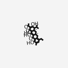 CCc1cc(C)c(O)c2c1C[C@]1(C)C[C@]3(C)C(C(C)C)C(O)=C(C(C)=O)C(=O)[C@]3(O)C(O)=C1C2=O